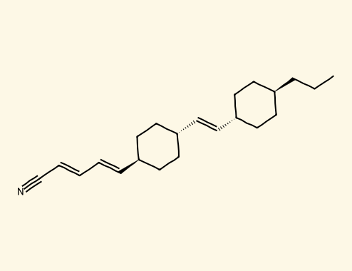 CCC[C@H]1CC[C@H](C=C[C@H]2CC[C@H](C=CC=CC#N)CC2)CC1